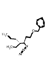 C=CC[C@@H](CC)[C@@H](CCOCc1ccccc1)N=[N+]=[N-]